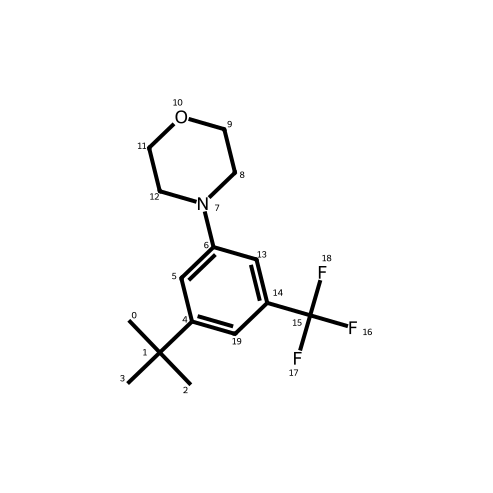 CC(C)(C)c1cc(N2CCOCC2)cc(C(F)(F)F)c1